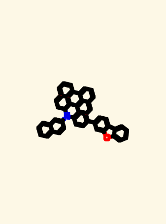 C1=CCC(N(c2ccc(-c3ccc4c(c3)oc3ccccc34)cc2)c2ccc3ccccc3c2)C(c2cccc3cccc(-c4ccccc4)c23)=C1